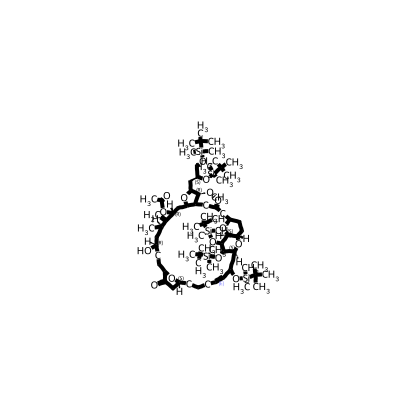 C=C1[C@H](C)C[C@H](O)CCC2O[C@@H](CCC/C=C/C(O[Si](C)(C)C(C)(C)C)[C@@H]3O[C@H]4CCC(CC(=O)CC5C(C[C@H]1OC(C)=O)OC(C[C@@H](CO[Si](C)(C)C(C)(C)C)O[Si](C)(C)C(C)(C)C)[C@@H]5OC)O[C@@H]4C(O[Si](C)(C)C(C)(C)C)C3O[Si](C)(C)C(C)(C)C)CC2=O